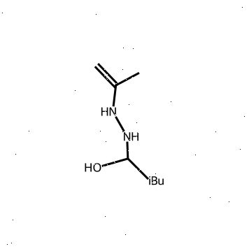 C=C(C)NNC(O)C(C)CC